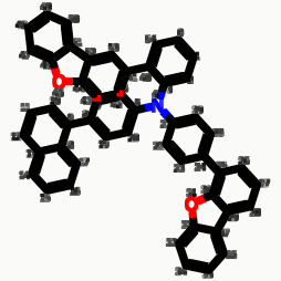 c1ccc(N(c2ccc(-c3cccc4ccccc34)cc2)c2ccc(-c3cccc4c3oc3ccccc34)cc2)c(-c2ccc3oc4ccccc4c3c2)c1